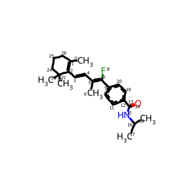 CC1=C(/C=C/C(C)=C(\F)c2ccc(C(=O)NC(C)C)cc2)C(C)(C)CCC1